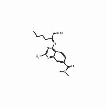 CCCC/C(CO)=N\c1nc(N)nc2cc(C(=O)N(C)C)ccc12